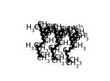 CC(C)CCCC(C)CCCC(C)CCCC(CCC(C)C)=C(CC(C)C)C(=O)[O-].CC(C)CCCC(C)CCCC(C)CCCC(CCC(C)C)=C(CC(C)C)C(=O)[O-].CC(C)CCCC(C)CCCC(C)CCCC(CCC(C)C)=C(CC(C)C)C(=O)[O-].[Al+3]